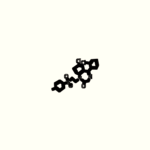 Cc1ccc(S(=O)(=O)CCN2C(=O)CN=C(c3ccccc3Cl)c3cc(Cl)ccc32)cc1